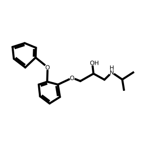 CC(C)NCC(O)COc1ccccc1Oc1ccccc1